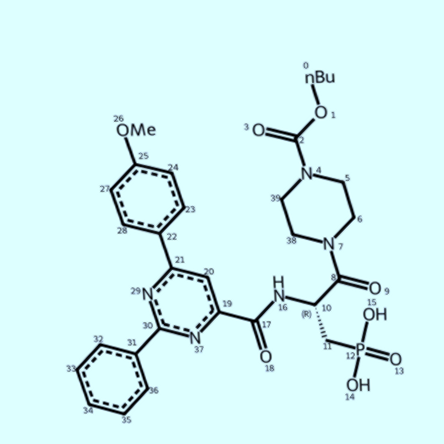 CCCCOC(=O)N1CCN(C(=O)[C@H](CP(=O)(O)O)NC(=O)c2cc(-c3ccc(OC)cc3)nc(-c3ccccc3)n2)CC1